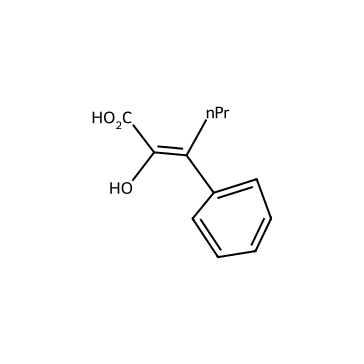 CCCC(=C(O)C(=O)O)c1ccccc1